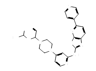 CC(C)OC(C=O)N1CCN(c2ccnc(Nc3nc4ccc(-c5ccncc5)nc4s3)c2)CC1